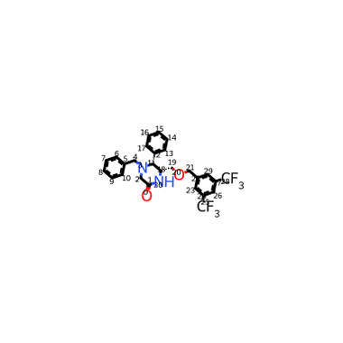 O=C1CN(Cc2ccccc2)[C@H](c2ccccc2)[C@H](COCc2cc(C(F)(F)F)cc(C(F)(F)F)c2)N1